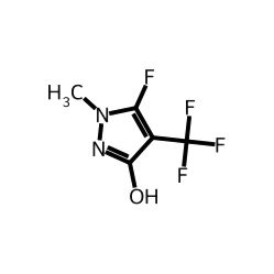 Cn1nc(O)c(C(F)(F)F)c1F